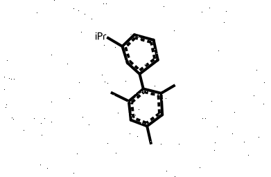 Cc1cc(C)c(-c2cc[c]c(C(C)C)c2)c(C)c1